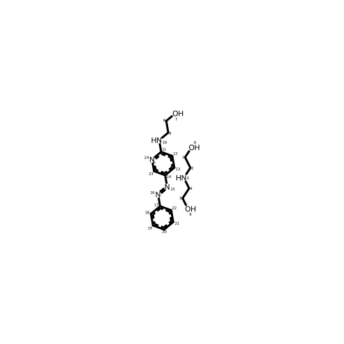 OCCNCCO.OCCNc1ccc(N=Nc2ccccc2)cn1